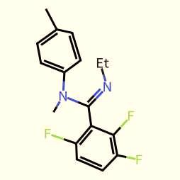 CC/N=C(/c1c(F)ccc(F)c1F)N(C)c1ccc(C)cc1